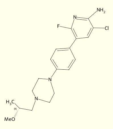 CO[C@H](C)CN1CCN(c2ccc(-c3cc(Cl)c(N)nc3F)cc2)CC1